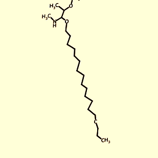 CCCCCCCCCCCCCCCCCCOC(NC)C(C)OC